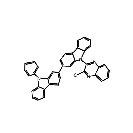 Clc1nc2ccccc2nc1-n1c2ccccc2c2ccc(-c3ccc4c5ccccc5n(-c5ccccc5)c4c3)cc21